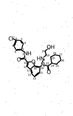 O=C(Nc1ccc(Cl)cc1)c1cc2cccc(N(NCCO)C(=O)C3CCCCC3)c2o1